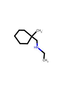 [CH2]C1(CNCC)CCCCC1